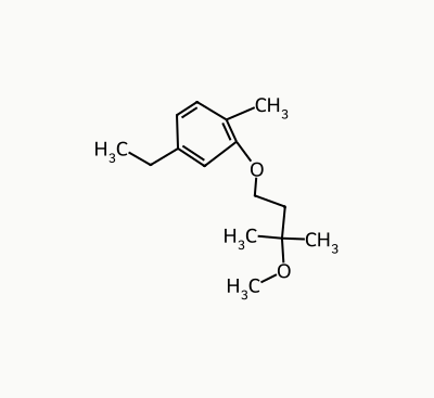 CCc1ccc(C)c(OCCC(C)(C)OC)c1